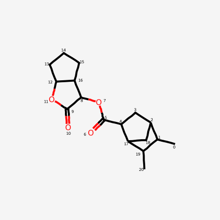 CC1C2CC(C(=O)OC3C(=O)OC4CCCC43)C(C2)C1C